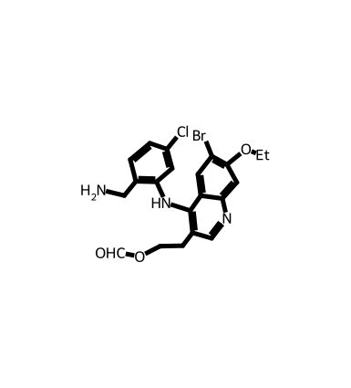 CCOc1cc2ncc(CCOC=O)c(Nc3cc(Cl)ccc3CN)c2cc1Br